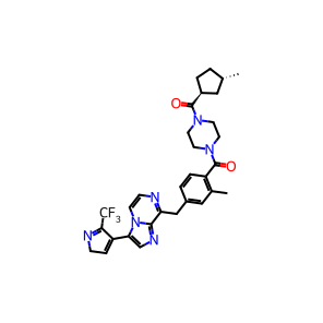 Cc1cc(Cc2nccn3c(C4=CCN=C4C(F)(F)F)cnc23)ccc1C(=O)N1CCN(C(=O)[C@H]2CC[C@H](C)C2)CC1